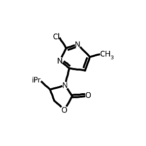 Cc1cc(N2C(=O)OCC2C(C)C)nc(Cl)n1